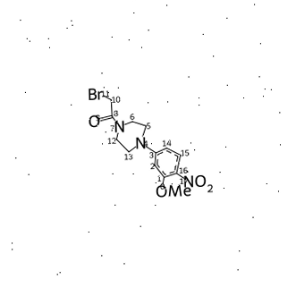 COc1cc(N2CCN(C(=O)CBr)CC2)ccc1[N+](=O)[O-]